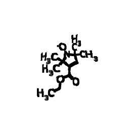 CCOC(=O)C1=CC(C)(C)N([O])C1(C)C